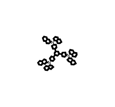 c1ccc2cc(N(c3ccc(-c4cc(-c5ccc(N(c6ccc7ccccc7c6)c6cccc7ccccc67)cc5)cc(-c5ccc(N(c6ccc7ccccc7c6)c6cccc7ccccc67)cc5)c4)cc3)c3cccc4ccccc34)ccc2c1